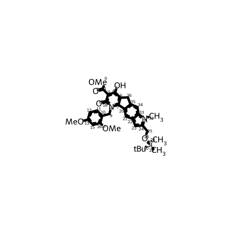 COC(=O)c1c(O)c2c(n(Cc3ccc(OC)cc3OC)c1=O)-c1cc3cc(CO[Si](C)(C)C(C)(C)C)n(C)c3cc1C2